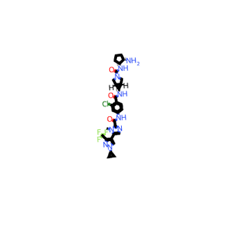 Cn1c(-c2cn(C3CC3)nc2C(F)(F)F)cnc1C(=O)Nc1ccc(C(=O)N[C@H]2[C@@H]3CN(C(=O)N[C@@H]4CCC[C@@H]4N)C[C@@H]32)c(Cl)c1